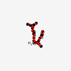 CC1(C)c2ccc(-c3ccc(-c4nc5cc6oc7cc(-c8ccc(N(c9ccc(-c%10ccccc%10)cc9)c9ccc(-c%10ccccc%10)cc9)cc8)ccc7c6cc5s4)cc3)cc2-c2cc(N(c3ccc(-c4ccccc4)cc3)c3ccc(-c4ccc5c(c4)oc4cc6nc(-c7ccccc7)sc6cc45)cc3)ccc21